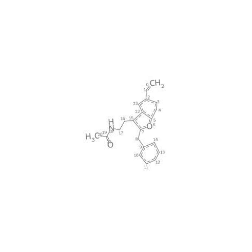 C=Cc1ccc2oc(Cc3ccccc3)c(CCNC(C)=O)c2c1